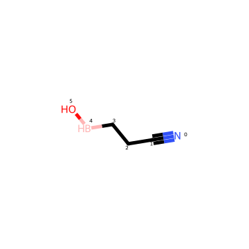 N#CCCBO